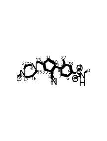 CNS(=O)(=O)c1ccc(-c2ccc(CN3CCCN(C)CC3)cc2C#N)c(C)c1